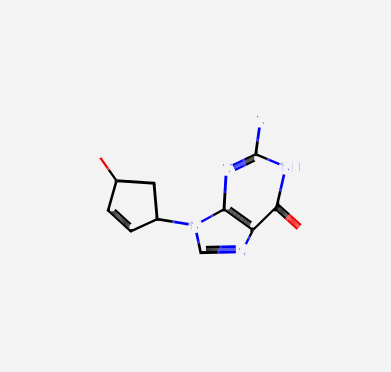 Nc1nc2c(ncn2C2C=CC(O)C2)c(=O)[nH]1